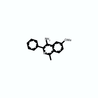 COc1ccc2c(C)nc(-c3ccccc3)c(N)c2c1